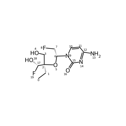 CC[C@](CO)(O[C@H](CF)n1ccc(N)nc1=O)[C@@H](O)F